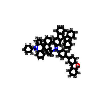 c1ccc(N2c3ccccc3C3(c4ccccc4-c4c(N(c5ccc(-c6ccc7oc8ccccc8c7c6)cc5)c5ccc6c(c5)C(c5ccccc5)(c5ccccc5)c5ccccc5-6)cccc43)c3ccccc32)cc1